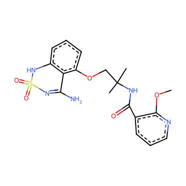 COc1ncccc1C(=O)NC(C)(C)COc1cccc2c1C(N)=NS(=O)(=O)N2